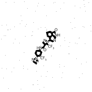 O=C(Nc1ccc(-n2nccn2)c(C(F)(F)F)c1)c1cnn(-c2cnc3c4c(cccc24)C(=O)N3)c1C(F)(F)F